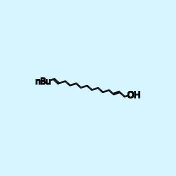 CCCC/C=C/CCCCCCCCC/C=C/CO